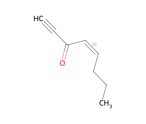 C#CC(=O)/C=C\CCC